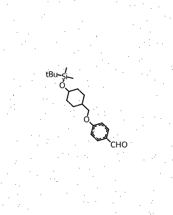 CC(C)(C)[Si](C)(C)OC1CCC(COc2ccc(C=O)cc2)CC1